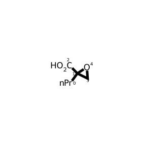 [CH2]CCC1(C(=O)O)CO1